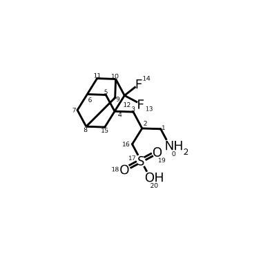 NCC(CC12CC3CC(CC(C3)C1(F)F)C2)CS(=O)(=O)O